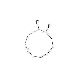 FC1CCCCCCCCC1F